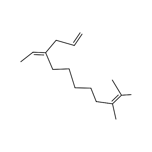 C=CC/C(=C/C)CCCCCC(C)=C(C)C